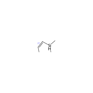 C/C=C\[SiH](C)C